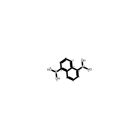 O=NB(O)c1cccc2c(B(O)O)cccc12